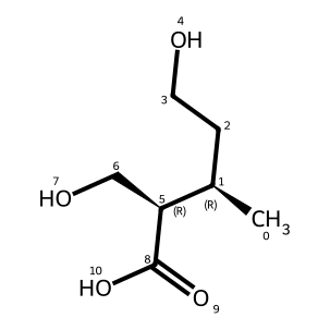 C[C@H](CCO)[C@H](CO)C(=O)O